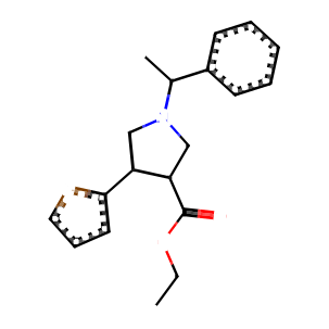 CCOC(=O)C1CN(C(C)c2ccccc2)CC1c1cccs1